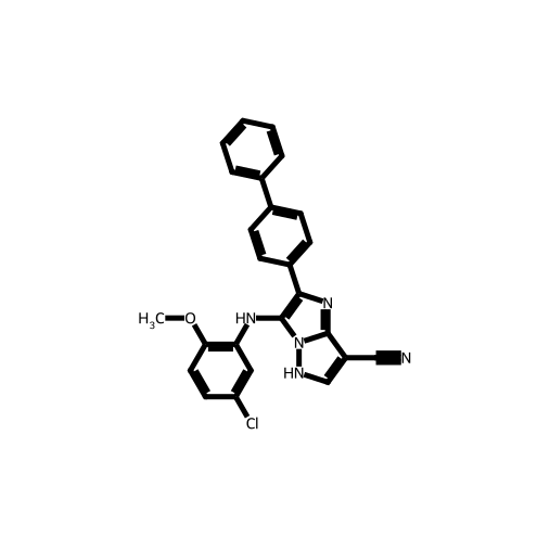 COc1ccc(Cl)cc1Nc1c(-c2ccc(-c3ccccc3)cc2)nc2c(C#N)c[nH]n12